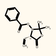 C=C[C@H]1C(=O)OC(C)(C)N1OC(=O)c1ccccc1